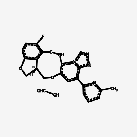 Cc1cccc(-c2cc3c(n4cnnc24)NCc2c(F)ccc4c2[C@@H](CO4)CO3)n1.O=CO